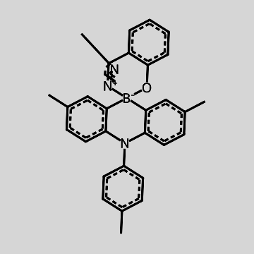 Cc1ccc(N2c3ccc(C)cc3[B-]3(Oc4ccccc4-c4n(C)cc[n+]43)c3cc(C)ccc32)cc1